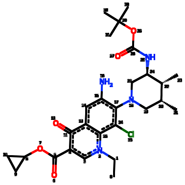 CCn1cc(C(=O)OC2CC2)c(=O)c2cc(N)c(N3C[C@@H](C)[C@@H](C)[C@H](NC(=O)OC(C)(C)C)C3)c(Cl)c21